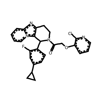 O=C(COc1cccnc1Cl)N1CCc2nc3ccccn3c2C1c1ccc(C2CC2)cc1F